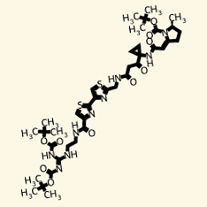 C[C@H]1CC/C(=C/C(=O)NC2(C(=O)CC(=O)NCc3nc(-c4nc(C(=O)NCCN/C(=N/C(=O)OC(C)(C)C)NC(=O)OC(C)(C)C)cs4)cs3)CC2)N1C(=O)OC(C)(C)C